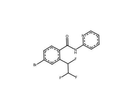 O=C(Nc1ccccn1)c1ccc(Br)cc1C(F)C(F)F